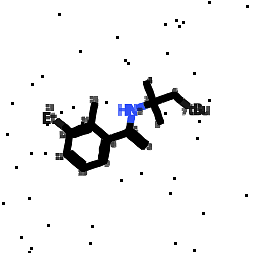 C=C(NC(C)(C)CC(C)(C)C)c1cccc(CC)c1C